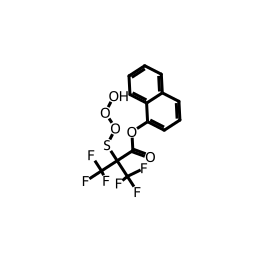 O=C(Oc1cccc2ccccc12)C(SOOO)(C(F)(F)F)C(F)(F)F